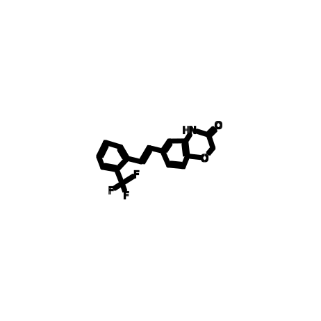 O=C1COc2ccc(/C=C/c3ccccc3C(F)(F)F)cc2N1